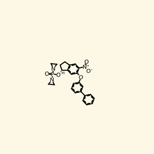 O=[N+]([O-])c1cc2c(cc1Oc1cccc(-c3ccccc3)c1)[C@H](OP(=O)(N1CC1)N1CC1)CC2